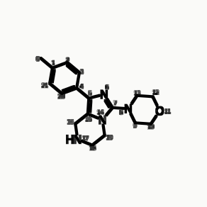 Cc1ccc(-c2nc(N3CCOCC3)n3c2CNCC3)cc1